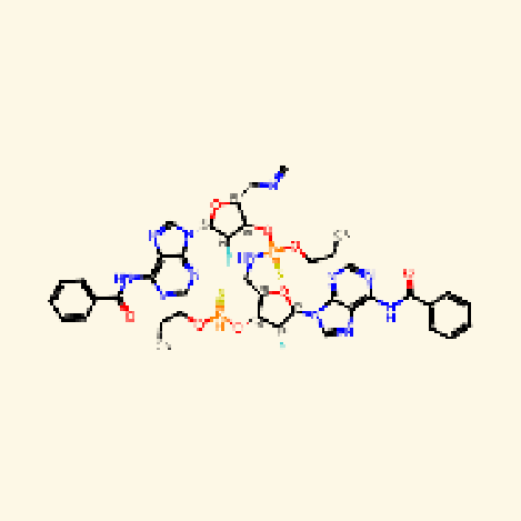 C=NC[C@H]1O[C@@H](n2cnc3c(NC(=O)c4ccccc4)ncnc32)[C@H](F)[C@@H]1OP(=S)(NC[C@H]1O[C@@H](n2cnc3c(NC(=O)c4ccccc4)ncnc32)[C@H](F)[C@@H]1O[PH](=S)OCCC#N)OCCC#N